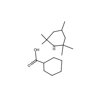 CC1CC(C)(C)NC(C)(C)C1.O=C(O)C1CCCCC1